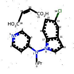 CCCN(c1ccncc1)n1ccc2cc(Cl)ccc21.O=C(O)/C=C\C(=O)O